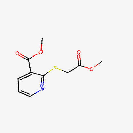 COC(=O)CSc1ncccc1C(=O)OC